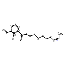 C=Cc1cccc(C(=O)CCCCCCC/C=C\CCCCCCCC)c1C